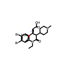 CCN(C(=O)C(/C(=C\C(=O)O)C(=O)O)C1CCN(C)CC1)c1ccc(Br)c(Br)c1